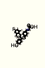 Cc1cc(F)cc(C)c1Cc1sc2cc(O)ccc2c1Oc1ccc(/C=C/C(=O)O)cc1